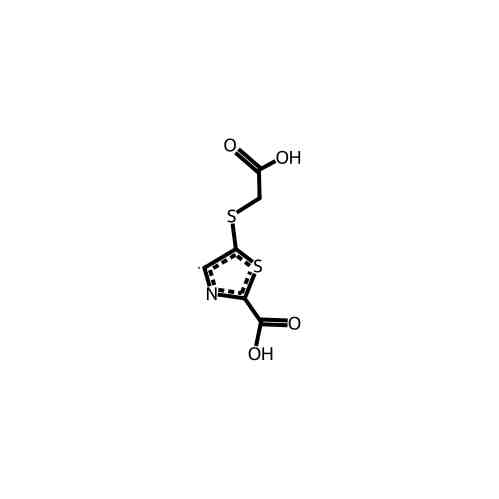 O=C(O)CSc1[c]nc(C(=O)O)s1